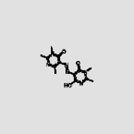 Cc1nc(C)n(C)c(=O)c1N=Nc1c(O)nc(C)n(C)c1=O